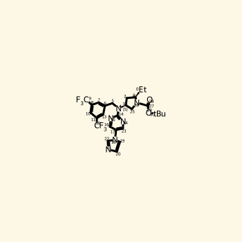 CC[C@@H]1C[C@H](N(Cc2cc(C(F)(F)F)cc(C(F)(F)F)c2)c2ncc(-n3ccnc3)cn2)CN1C(=O)OC(C)(C)C